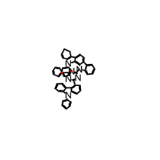 C1=Cc2c(c3ccc4c5ccccc5n(-c5nc(-c6ccccc6)nc(-c6cccc7c6c6ccccc6n7-c6ccccc6)n5)c4c3n2-c2ccccc2)CC1